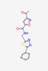 CC(=O)c1cc(C(=O)NCc2nnc(-c3ccccc3)s2)on1